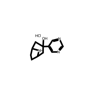 Cl.OC1(c2cncnc2)CC2CCC(C1)N2